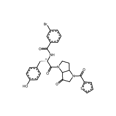 O=C(N[C@@H](Cc1ccc(O)cc1)C(=O)N1CCC2C1C(=O)CN2C(=O)c1cccs1)c1cccc(Br)c1